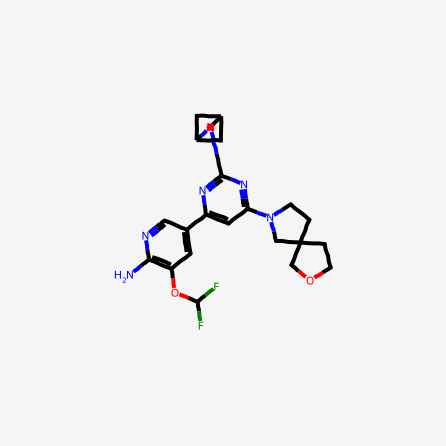 Nc1ncc(-c2cc(N3CCC4(CCOC4)C3)nc(N3CC4CC3C4)n2)cc1OC(F)F